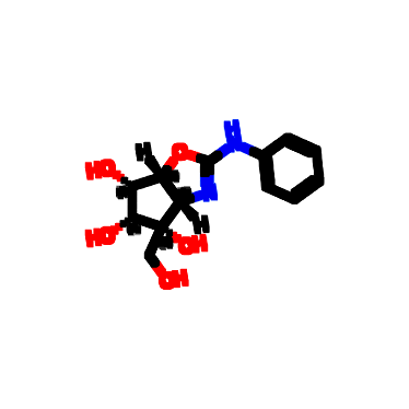 OC[C@@]1(O)[C@H](O)[C@H](O)[C@@H]2OC(Nc3ccccc3)=N[C@@H]21